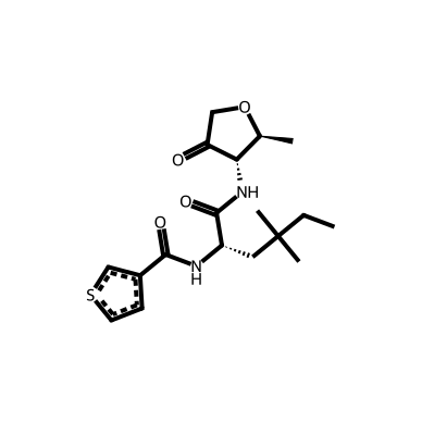 CCC(C)(C)C[C@H](NC(=O)c1ccsc1)C(=O)N[C@@H]1C(=O)CO[C@H]1C